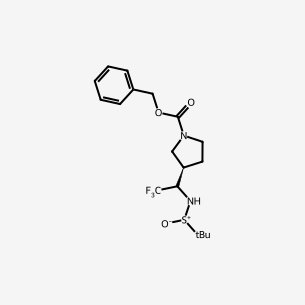 CC(C)(C)[S+]([O-])NC([C@@H]1CCN(C(=O)OCc2ccccc2)C1)C(F)(F)F